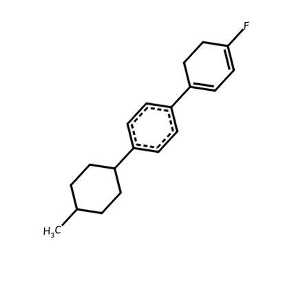 CC1CCC(c2ccc(C3=CC=C(F)CC3)cc2)CC1